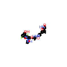 C#Cc1c(F)ccc2cc(O)cc(-c3ncc4c(N5CC6CCC(C5)N6)cc(OCC5C[C@@H](NC(=O)N6CCC(c7ccc8c(c7)C(C)C=C8C7CCC(=O)NC7=O)CC6)CC5C)cc4c3F)c12